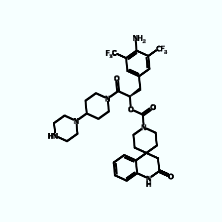 Nc1c(C(F)(F)F)cc(C[C@@H](OC(=O)N2CCC3(CC2)CC(=O)Nc2ccccc23)C(=O)N2CCC(N3CCNCC3)CC2)cc1C(F)(F)F